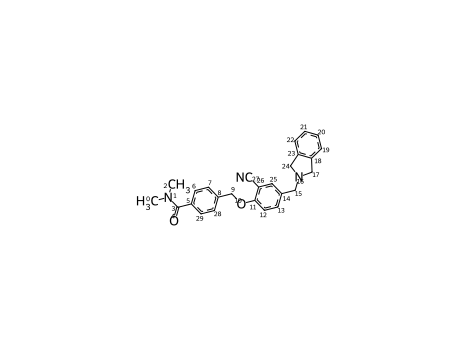 CN(C)C(=O)c1ccc(COc2ccc(CN3Cc4ccccc4C3)cc2C#N)cc1